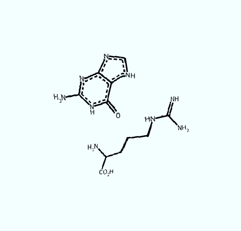 N=C(N)NCCCC(N)C(=O)O.Nc1nc2nc[nH]c2c(=O)[nH]1